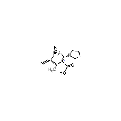 CC(=C(C#N)C#N)/C(C(=O)O)=C(\C)N1CCCC1